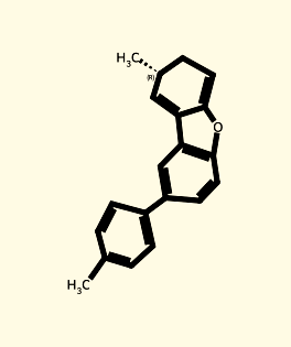 Cc1ccc(-c2ccc3oc4c(c3c2)=C[C@H](C)CC=4)cc1